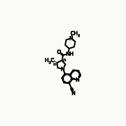 C[C@H]1CN(c2ccc(C#N)c3ncccc23)C[C@@H]1C(=O)NC1CCN(C)CC1